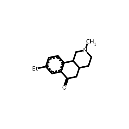 CCc1ccc2c(c1)C(=O)CC1CCN(C)CC21